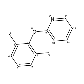 Cc1cccc(C)c1Oc1ccccn1